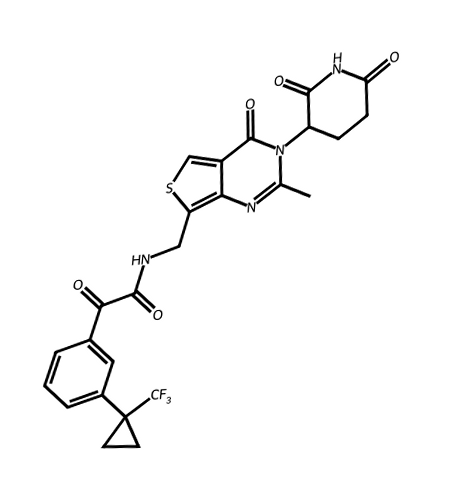 Cc1nc2c(CNC(=O)C(=O)c3cccc(C4(C(F)(F)F)CC4)c3)scc2c(=O)n1C1CCC(=O)NC1=O